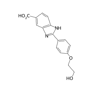 O=C(O)c1ccc2[nH]c(-c3ccc(OCCO)cc3)nc2c1